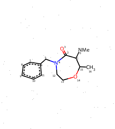 CNC1C(=O)N(Cc2ccccc2)CCOC1C